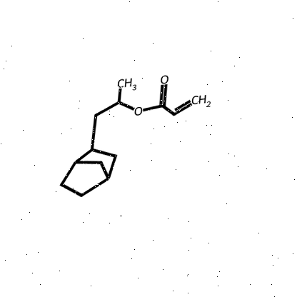 C=CC(=O)OC(C)CC1CC2CCC1C2